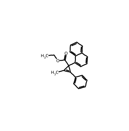 CCOC(=O)C1(c2cccc3ccccc23)C(C)=C1c1ccccc1